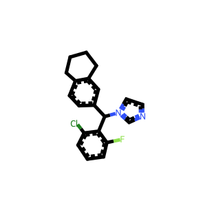 Fc1cccc(Cl)c1C(c1ccc2c(c1)CCCC2)n1ccnc1